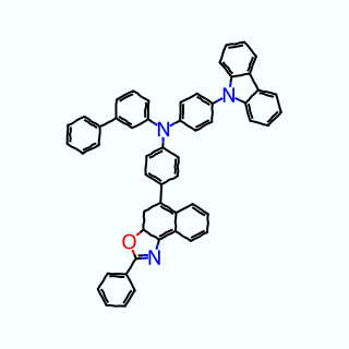 c1ccc(C2=NC3=c4ccccc4=C(c4ccc(N(c5ccc(-n6c7ccccc7c7ccccc76)cc5)c5cccc(-c6ccccc6)c5)cc4)CC3O2)cc1